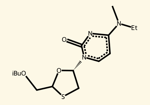 CCN(C)c1ccn([C@@H]2CSC(COCC(C)C)O2)c(=O)n1